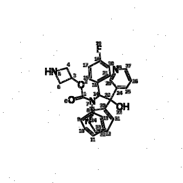 O=C(OC1CNC1)N(c1ccccc1)C(c1ccc(F)cc1)C(O)(c1cccnc1)c1cccnc1